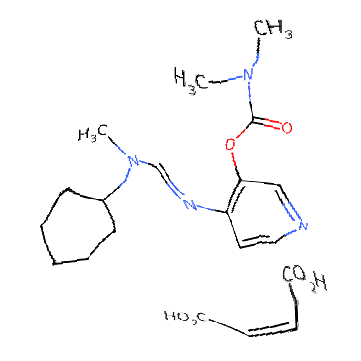 CN(C)C(=O)Oc1cnccc1N=CN(C)C1CCCCC1.O=C(O)/C=C\C(=O)O